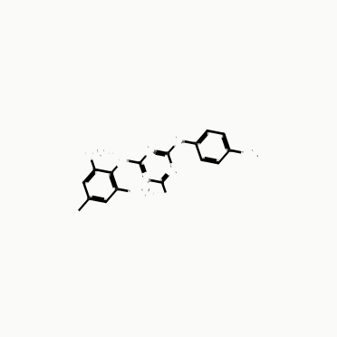 COc1cc(C)cc(OC)c1Oc1nc(Cl)nc(Nc2ccc(C#N)cc2)n1